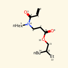 C=CC(=O)N(CCCCCC)CCC(=O)OCC(CC)CCCC